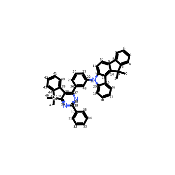 CC1(C)c2ccccc2-c2ccc3c(c21)c1ccccc1n3-c1cccc(-c2nc(-c3ccccc3)nc3c2-c2ccccc2[Si]3(C)C)c1